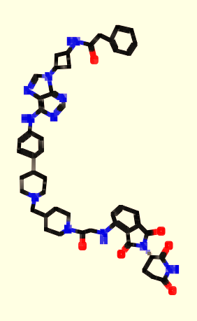 O=C1CC[C@H](N2C(=O)c3cccc(NCC(=O)N4CCC(CN5CCC(c6ccc(Nc7ncnc8c7ncn8C7CC(NC(=O)Cc8ccccc8)C7)cc6)CC5)CC4)c3C2=O)C(=O)N1